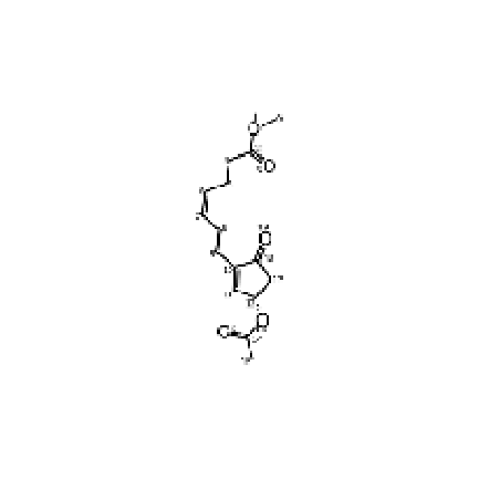 COC(=O)CC/C=C\CCC1=C[C@@H](OC(C)=O)CC1=O